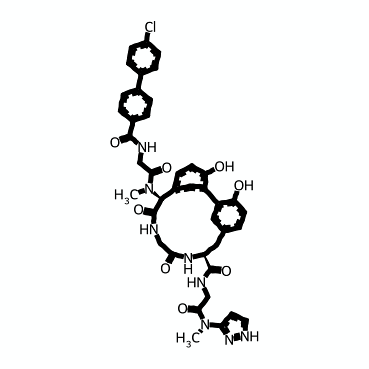 CN(C(=O)CNC(=O)[C@@H]1Cc2ccc(O)c(c2)-c2cc(ccc2O)[C@H](N(C)C(=O)CNC(=O)c2ccc(-c3ccc(Cl)cc3)cc2)C(=O)NCC(=O)N1)c1cc[nH]n1